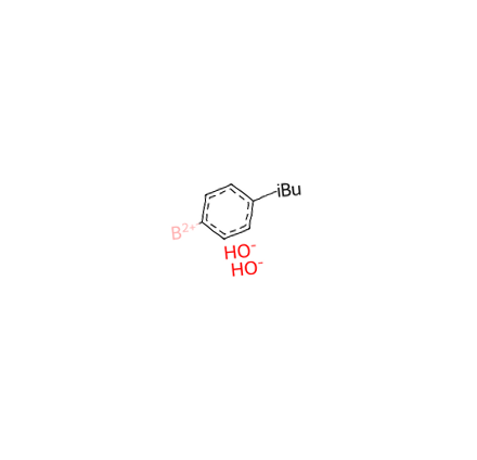 [B+2]c1ccc(C(C)CC)cc1.[OH-].[OH-]